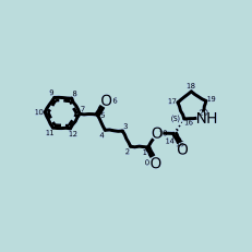 O=C(CCCC(=O)c1ccccc1)OC(=O)[C@@H]1CCCN1